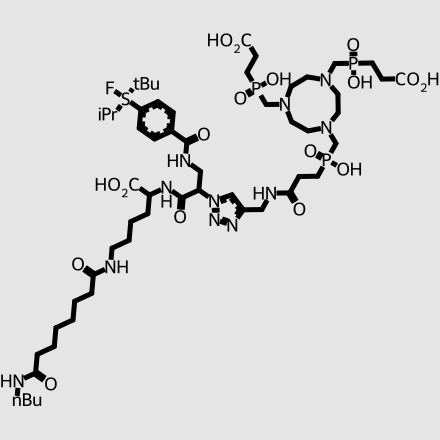 CCCCNC(=O)CCCCCCC(=O)NCCCCC(NC(=O)C(CNC(=O)c1ccc(S(F)(C(C)C)C(C)(C)C)cc1)n1cc(CNC(=O)CCP(=O)(O)CN2CCN(CP(=O)(O)CCC(=O)O)CCN(CP(=O)(O)CCC(=O)O)CC2)nn1)C(=O)O